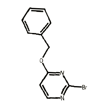 Brc1nccc(OCc2ccccc2)n1